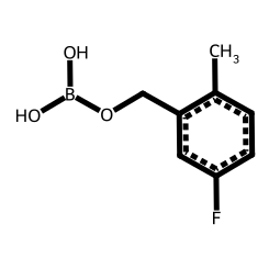 Cc1ccc(F)cc1COB(O)O